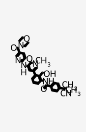 Cn1cc(-c2cccc(NC(=O)c3ccc(C(C)(C)C#N)cc3)c2CO)cc(Nc2ccc(C(=O)N3CCOCC3)cn2)c1=O